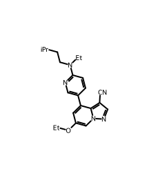 CCOc1cc(-c2ccc(N(CC)CCC(C)C)nc2)c2c(C#N)cnn2c1